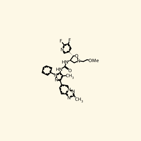 COCCN1C[C@@H](NC(=O)Nc2c(C)c(-c3ccc4nc(C)nn4c3)nn2-c2ccccc2)[C@H](c2cnc(F)c(F)c2)O1